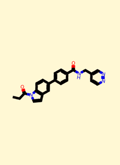 CCC(=O)n1ccc2cc(-c3ccc(C(=O)NCc4ccnnc4)cc3)ccc21